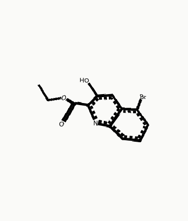 CCOC(=O)c1nc2cccc(Br)c2cc1O